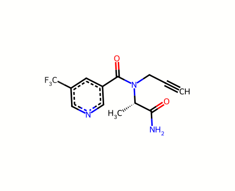 C#CCN(C(=O)c1cncc(C(F)(F)F)c1)[C@@H](C)C(N)=O